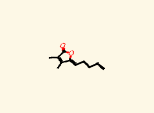 CCCCC=C1OC(=O)C(C)=C1C